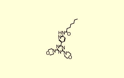 CCCCCCC(=O)Nc1ccc(-c2nc(N3CCOCC3)nc(N3CCOCC3)n2)cn1